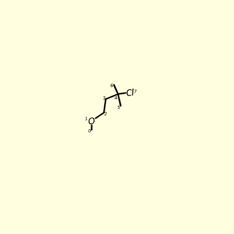 COCCC(C)(C)Cl